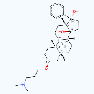 CN(C)CCCO[C@H]1CC[C@@]2(C)[C@H](CC[C@@H]3[C@@H]2CC[C@]2(C)[C@@](O)(c4ccccc4)CC[C@]32O)C1